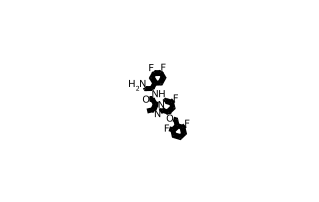 Cc1nc2c(OCc3c(F)cccc3F)cc(F)cn2c1C(=O)NC(CN)c1ccc(F)c(F)c1